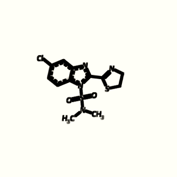 CN(C)S(=O)(=O)n1c(C2=NCCS2)nc2cc(Cl)ccc21